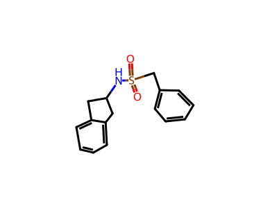 O=S(=O)(Cc1ccccc1)NC1Cc2ccccc2C1